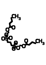 CCCCC(=O)OCOS(=O)(=O)CCCS(=O)(=O)OCOC(=O)CCCC